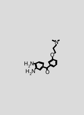 CN(C)CCCOc1cccc(C(=O)c2ccc(N)c(N)c2)c1